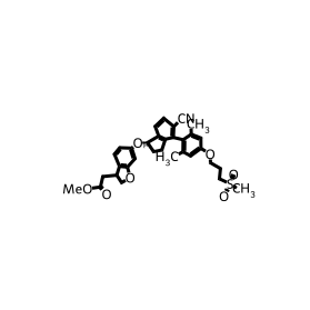 COC(=O)CC1COc2cc(O[C@@H]3CCc4c3ccc(C#N)c4-c3c(C)cc(OCCCS(C)(=O)=O)cc3C)ccc21